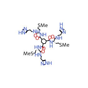 CSCC[C@H](NC(=O)C1CC(C(=O)N[C@@H](CCSC)C(=O)NCCc2c[nH]cn2)CC(C(=O)N[C@@H](CCSC)C(=O)NCCc2c[nH]cn2)C1)C(=O)NCCc1c[nH]cn1